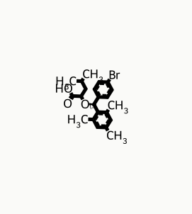 Cc1cc(C)c([C@@H](OC(CC(C)C)C(=O)O)c2ccc(Br)cc2)c(C)c1